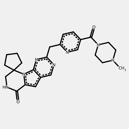 CN1CCN(C(=O)c2ccc(Cc3ncc4cc5n(c4n3)C3(CCCC3)CNC5=O)nc2)CC1